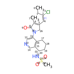 CC/C(Cl)=C\C1=C(C)C(=O)N(c2cncc3c2CCC[C@@H]3NS(C)(=O)=O)C1